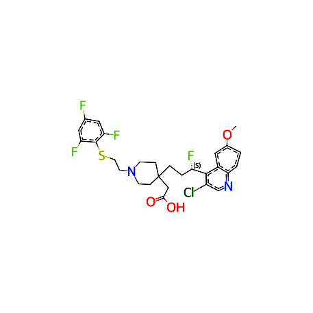 COc1ccc2ncc(Cl)c([C@@H](F)CCC3(CC(=O)O)CCN(CCSc4c(F)cc(F)cc4F)CC3)c2c1